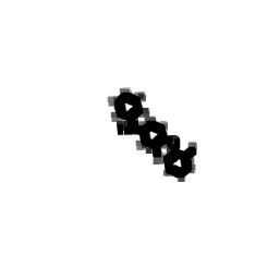 Cc1ccccc1Oc1ccc(Nc2ccccc2)cc1C